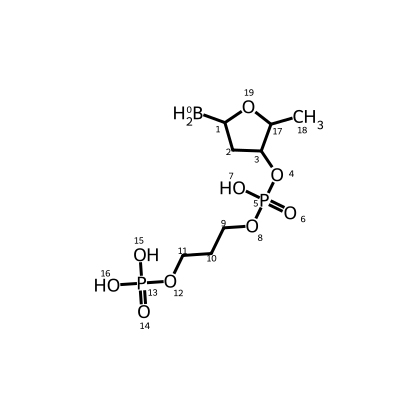 BC1CC(OP(=O)(O)OCCCOP(=O)(O)O)C(C)O1